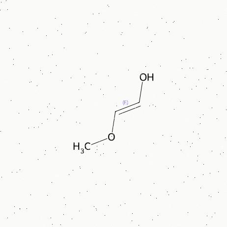 CO/C=C/O